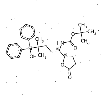 CC(C)(C)OC(=O)N[C@@H](CCC(C)(C)[Si](O)(c1ccccc1)c1ccccc1)[C@@H]1CCC(=O)O1